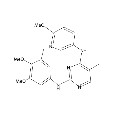 COc1ccc(Nc2nc(Nc3cc(C)c(OC)c(OC)c3)ncc2C)cn1